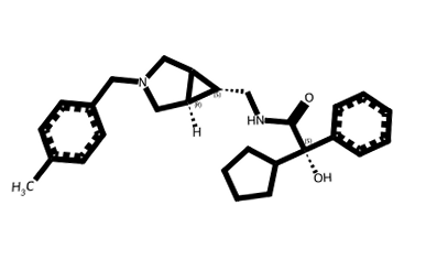 Cc1ccc(CN2CC3[C@H](CNC(=O)[C@@](O)(c4ccccc4)C4CCCC4)[C@H]3C2)cc1